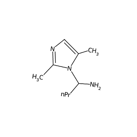 CCCC(N)n1c(C)cnc1C